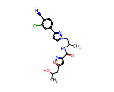 CC(O)Cc1cc(C(=O)NC(C)Cn2ccc(-c3ccc(C#N)c(Cl)c3)n2)no1